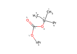 CCCOC(=O)O[Si](C)(C)C(C)C